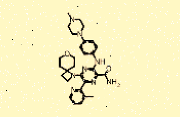 Cc1cccnc1-c1nc(C(N)=O)c(Nc2ccc(N3CCN(C)CC3)cc2)nc1N1CCC12CCOCC2